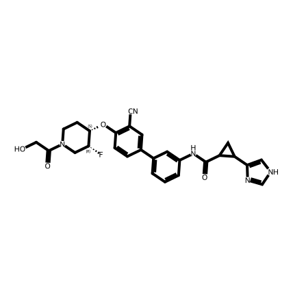 N#Cc1cc(-c2cccc(NC(=O)C3CC3c3c[nH]cn3)c2)ccc1O[C@H]1CCN(C(=O)CO)C[C@H]1F